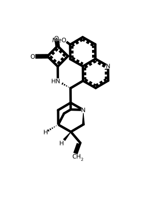 C=C[C@H]1C[N@]2CC[C@H]1CC2[C@H](Nc1cc(=O)c1=O)c1ccnc2ccc(OC)cc12